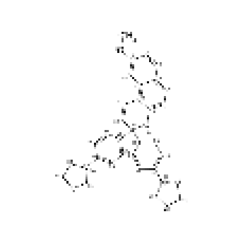 COc1ccc2ccc3c(c2c1)C=CC(c1ccc(N2CCCC2)cc1)(c1ccc(N2CCCC2)cc1)O3